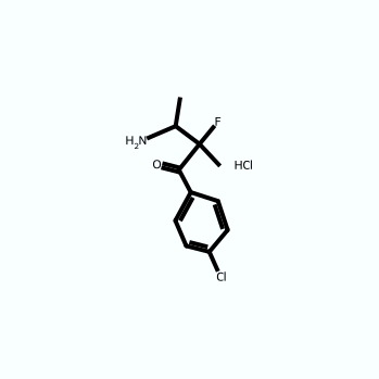 CC(N)C(C)(F)C(=O)c1ccc(Cl)cc1.Cl